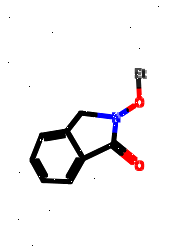 CCON1Cc2ccccc2C1=O